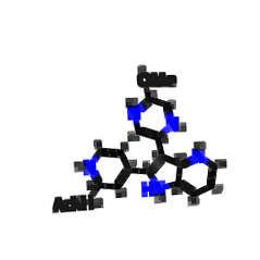 COc1cnc(-c2c(-c3ccnc(NC(C)=O)c3)[nH]c3cccnc23)cn1